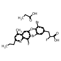 CCC(=O)O.CCCc1cc(C)c2cc(Oc3c(Br)cc(CC(F)C(=O)O)cc3Br)cc(F)c2n1